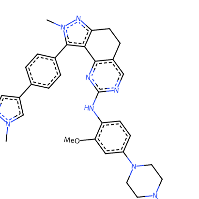 COc1cc(N2CCN(C(C)=O)CC2)ccc1Nc1ncc2c(n1)-c1c(nn(C)c1-c1ccc(-c3cnn(C)c3)cc1)CC2